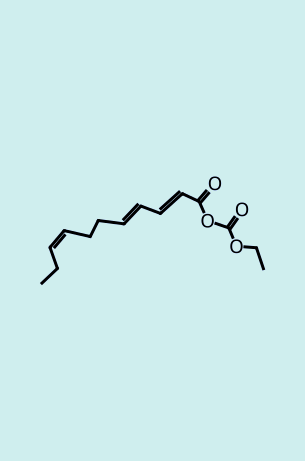 CC/C=C\CC/C=C/C=C/C(=O)OC(=O)OCC